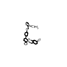 Cn1ccnc1COc1ccc(-c2ccc(=O)n(Cc3ccc(Cl)cc3F)c2)cc1